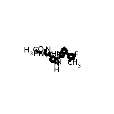 CCC(=O)Nc1cncc(-c2ccc3[nH]nc(-c4cc5c(-c6cc(C)cc(F)c6)cccc5[nH]4)c3c2)c1